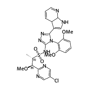 COc1cccc(OC)c1-n1c(NS(=O)(=O)[C@@H](C)[C@H](OC)c2ncc(Cl)cn2)nnc1C1=CNC2N=CC=CC12